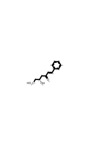 O=C(O)C[C@@H](O)CC(=O)C=Cc1ccccc1